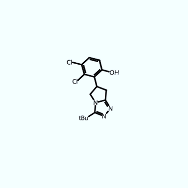 CC(C)(C)c1nnc2n1CC(c1c(O)ccc(Cl)c1Cl)C2